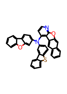 c1ccc2cc3c(cc2c1)oc1nccc(N(c2ccc4c(c2)oc2ccccc24)c2ccc4sc5ccccc5c4c2)c13